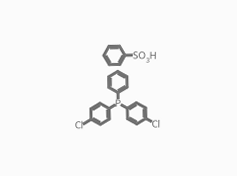 Clc1ccc(P(c2ccccc2)c2ccc(Cl)cc2)cc1.O=S(=O)(O)c1ccccc1